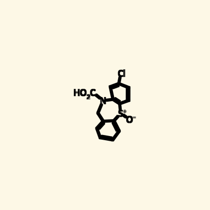 O=C(O)N1Cc2ccccc2[S+]([O-])c2ccc(Cl)cc21